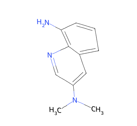 CN(C)c1cnc2c(N)cccc2c1